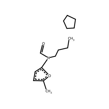 C1CCCC1.CCCCN(C=O)c1ccc(C)o1